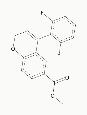 COC(=O)c1ccc2c(c1)C(c1c(F)cccc1F)=CCO2